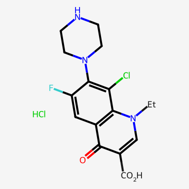 CCn1cc(C(=O)O)c(=O)c2cc(F)c(N3CCNCC3)c(Cl)c21.Cl